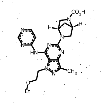 CCOCCn1nc(C)c2nc(N3C[C@@H]4C[C@H]3CN4C(=O)O)nc(Nc3ccncn3)c21